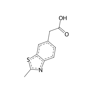 Cc1nc2ccc(CC(=O)O)cc2s1